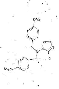 COc1ccc(CN(Cc2ccc(OC)cc2)n2ccnc2Cl)cc1